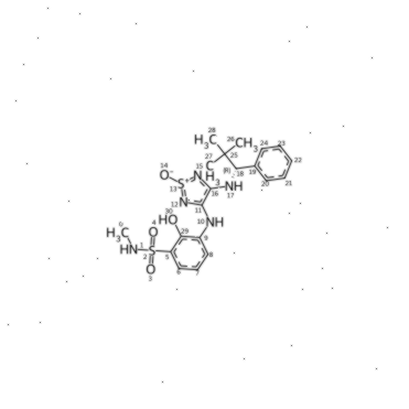 CNS(=O)(=O)c1cccc(Nc2n[s+]([O-])nc2N[C@@H](c2ccccc2)C(C)(C)C)c1O